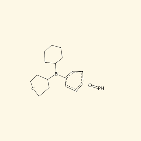 O=P.c1cc[c]([Bi]([CH]2CCCCC2)[CH]2CCCCC2)cc1